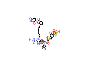 CCCC[C@H](NC(=O)c1cc2cc(C(F)(F)P(=O)(O)O)ccc2s1)C(=O)N1C[C@@H]2[C@H](C)[C@@H]2[C@@H]1C(=O)N[C@@H](CCC(N)=O)C(=O)NCCCCCCC#Cc1cccc2c1CN(C1CCC(=O)NC1=O)C2=O